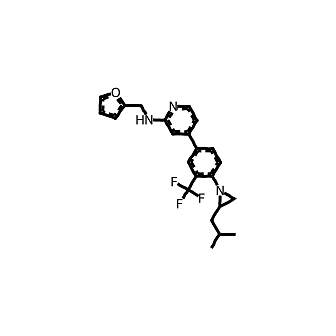 CC(C)CC1CN1c1ccc(-c2ccnc(NCc3ccco3)c2)cc1C(F)(F)F